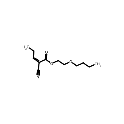 CCC=C(C#N)C(=O)OCCOCCCC